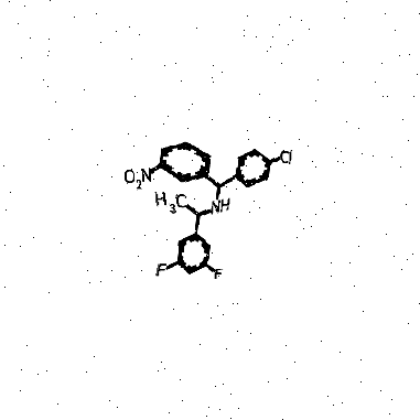 CC(NC(c1ccc(Cl)cc1)c1cccc([N+](=O)[O-])c1)c1cc(F)cc(F)c1